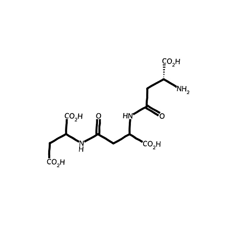 N[C@H](CC(=O)NC(CC(=O)NC(CC(=O)O)C(=O)O)C(=O)O)C(=O)O